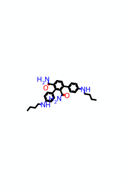 CCCCNc1ccc(-c2ccc(C(N)=O)c(-c3ccc(NCCCC)cc3)c2C(N)=O)cc1